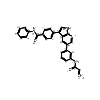 C=CC(=O)Nc1cccc(-c2cnc3[nH]cc(-c4ccc(C(=O)Nc5ccccc5)cc4)c3c2)c1